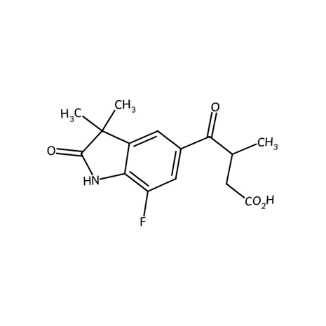 CC(CC(=O)O)C(=O)c1cc(F)c2c(c1)C(C)(C)C(=O)N2